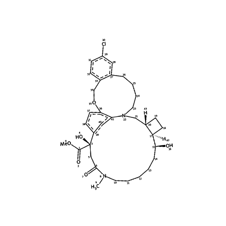 COC(=O)[C@@]1(O)CC(=O)N(C)CCCCC[C@H](O)[C@@H]2CC[C@H]2CN2CCCCc3cc(Cl)ccc3COc3ccc1cc32